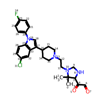 CC1(C)C(C(=O)C=O)NCN1CCN1CCC(c2cn(-c3ccc(F)cc3)c3ccc(Cl)cc23)CC1